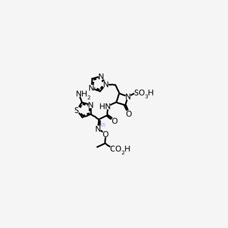 CC(O/N=C(\C(=O)NC1C(=O)N(S(=O)(=O)O)C1Cn1cncn1)c1csc(N)n1)C(=O)O